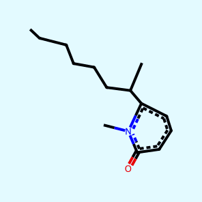 CCCCCCC(C)c1cccc(=O)n1C